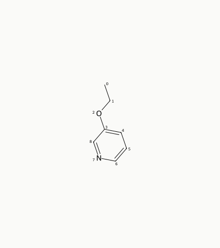 CCOc1cccnc1